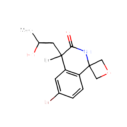 CCC1(CC(O)OC)C(=O)NC2(COC2)c2ccc(Br)cc21